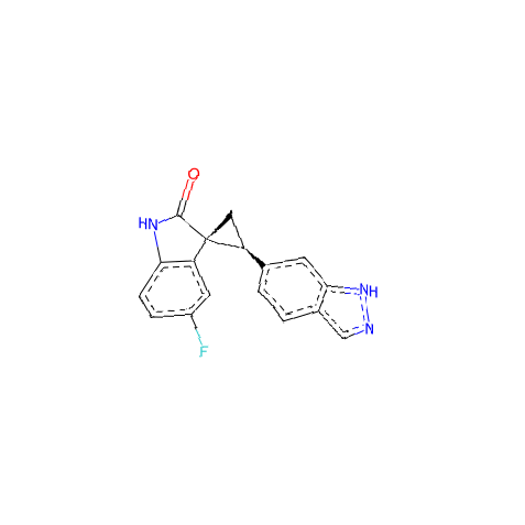 O=C1Nc2ccc(F)cc2[C@]12C[C@H]2c1ccc2cn[nH]c2c1